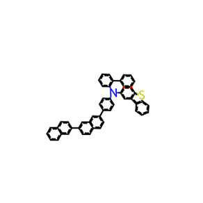 c1ccc(-c2ccccc2N(c2ccc(-c3ccc4ccc(-c5ccc6ccccc6c5)cc4c3)cc2)c2ccc3sc4ccccc4c3c2)cc1